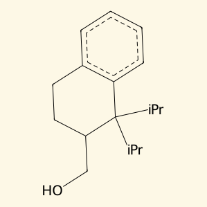 CC(C)C1(C(C)C)c2ccccc2CCC1CO